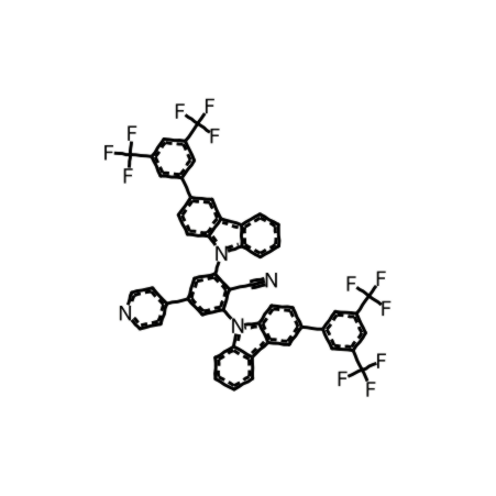 N#Cc1c(-n2c3ccccc3c3cc(-c4cc(C(F)(F)F)cc(C(F)(F)F)c4)ccc32)cc(-c2ccncc2)cc1-n1c2ccccc2c2cc(-c3cc(C(F)(F)F)cc(C(F)(F)F)c3)ccc21